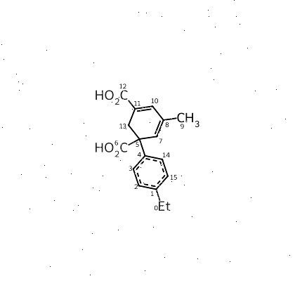 CCc1ccc(C2(C(=O)O)C=C(C)C=C(C(=O)O)C2)cc1